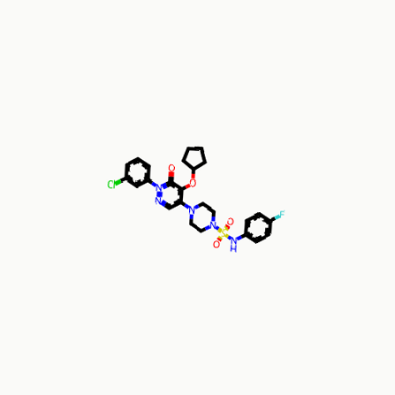 O=c1c(OC2CCCC2)c(N2CCN(S(=O)(=O)Nc3ccc(F)cc3)CC2)cnn1-c1cccc(Cl)c1